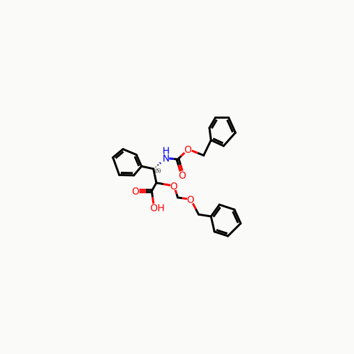 O=C(N[C@@H](c1ccccc1)C(OCOCc1ccccc1)C(=O)O)OCc1ccccc1